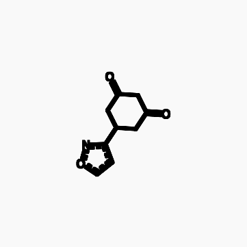 O=C1CC(=O)CC(c2ccon2)C1